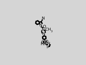 CC1CN(c2ccc(S(=O)(=O)Nc3nccs3)cc2)CCN1C(=O)Cn1cc(C#N)c2ccccc21